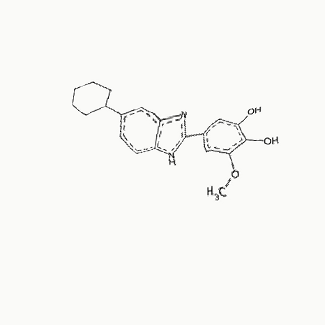 COc1cc(-c2nc3cc(C4CCCCC4)ccc3[nH]2)cc(O)c1O